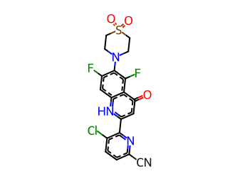 N#Cc1ccc(Cl)c(-c2cc(=O)c3c(F)c(N4CCS(=O)(=O)CC4)c(F)cc3[nH]2)n1